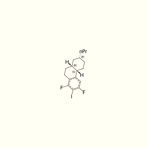 CCC[C@@H]1CC[C@@H]2c3cc(F)c(I)c(F)c3CC[C@@H]2C1